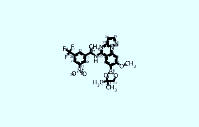 COc1cc2c(cc1B1OCC(C)(C)O1)c(NC(C)c1cc([N+](=O)[O-])cc(C(F)(F)F)c1)nc1ccnn12